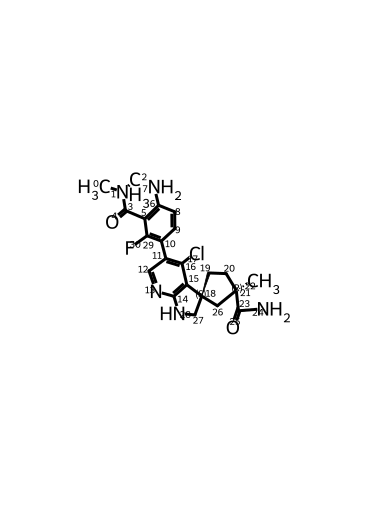 CN(C)C(=O)c1c(N)ccc(-c2cnc3c(c2Cl)[C@@]2(CC[C@@](C)(C(N)=O)C2)CN3)c1F